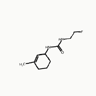 CC1=CC(NC(=O)NCCF)CCC1